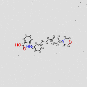 O=C(O)c1ccccc1Nc1cccc(CCCc2ccc(N3CCOCC3)cc2)c1